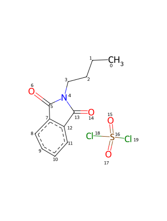 CCCCN1C(=O)c2ccccc2C1=O.O=S(=O)(Cl)Cl